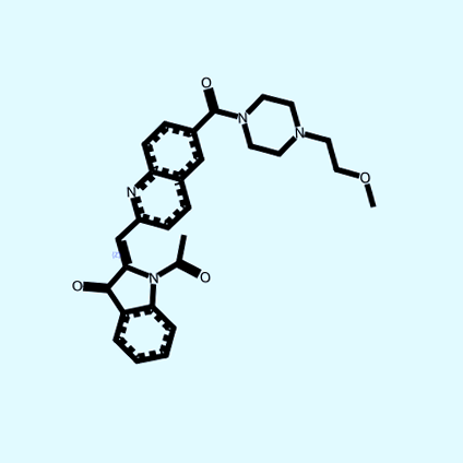 COCCN1CCN(C(=O)c2ccc3nc(/C=C4/C(=O)c5ccccc5N4C(C)=O)ccc3c2)CC1